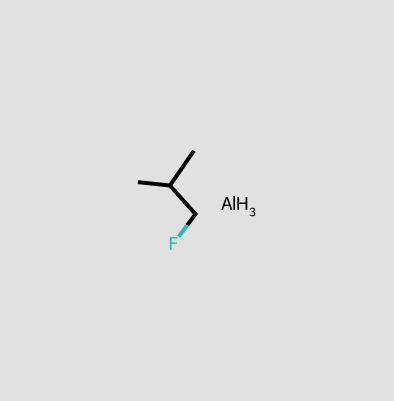 CC(C)CF.[AlH3]